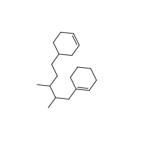 C[C](CC1=CCCCC1)C(C)CCC1CC=CCC1